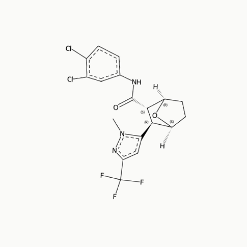 Cn1nc(C(F)(F)F)cc1[C@H]1[C@H](C(=O)Nc2ccc(Cl)c(Cl)c2)[C@H]2CC[C@@H]1O2